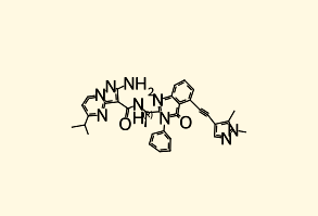 Cc1c(C#Cc2cccc3nc([C@@H](C)NC(=O)c4c(N)nn5ccc(C(C)C)nc45)n(-c4ccccc4)c(=O)c23)cnn1C